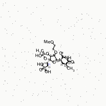 COCCO[C@@H]1C(OP(C)(=O)O)[C@@H](/C=C/P(=O)(O)O)O[C@H]1n1cc(C)c(=O)[nH]c1=O